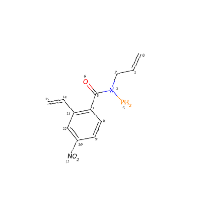 C=CCN(P)C(=O)c1ccc([N+](=O)[O-])cc1C=C